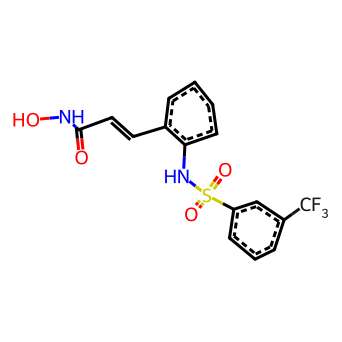 O=C(C=Cc1ccccc1NS(=O)(=O)c1cccc(C(F)(F)F)c1)NO